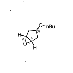 CCCCO[C@H]1C[C@@H]2O[C@@H]2C1